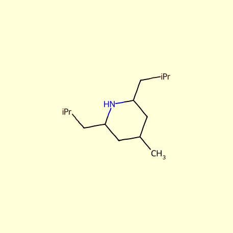 CC(C)CC1CC(C)CC(CC(C)C)N1